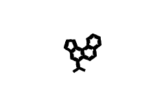 CC(C)=c1cc2c(c3c1ccc1ccccc13)=CC=C2